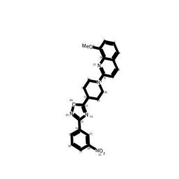 COc1cccc2ccc(N3CCC(c4nc(-c5cccc([N+](=O)[O-])c5)no4)CC3)nc12